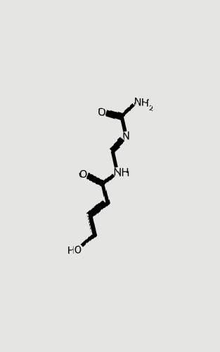 NC(=O)N=CNC(=O)C=CCO